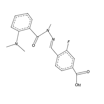 CN(/N=C/c1ccc(C(=O)O)cc1F)C(=O)c1ccccc1N(C)C